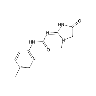 Cc1ccc(NC(=O)N=C2NC(=O)CN2C)nc1